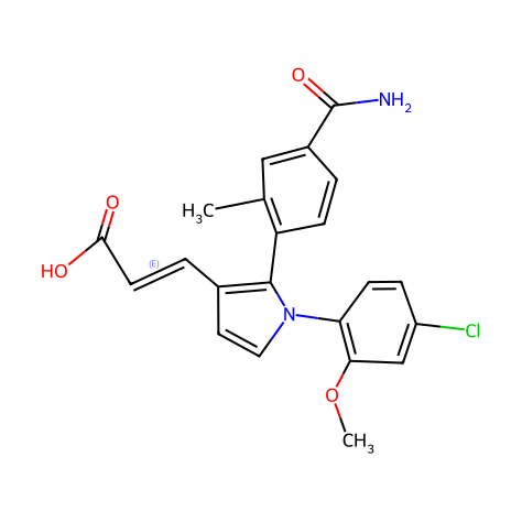 COc1cc(Cl)ccc1-n1ccc(/C=C/C(=O)O)c1-c1ccc(C(N)=O)cc1C